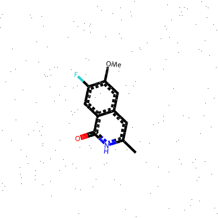 COc1cc2cc(C)[nH]c(=O)c2cc1F